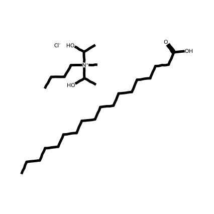 CCCCCCCCCCCCCCCCCC(=O)O.CCCC[N+](C)(C(C)O)C(C)O.[Cl-]